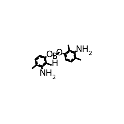 Cc1ccc(OBOc2ccc(C)c(N)c2C)c(C)c1N